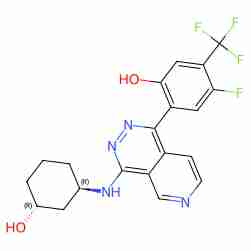 Oc1cc(C(F)(F)F)c(F)cc1-c1nnc(N[C@@H]2CCC[C@@H](O)C2)c2cnccc12